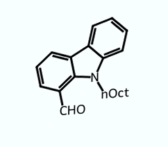 CCCCCCCCn1c2ccccc2c2cccc(C=O)c21